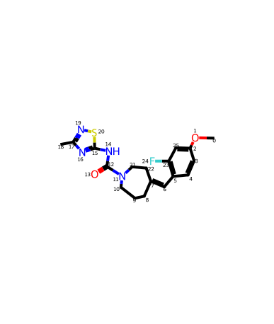 COc1ccc(/C=C2/CCCN(C(=O)Nc3nc(C)ns3)CC2)c(F)c1